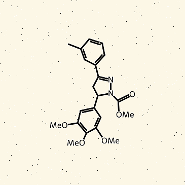 COC(=O)N1N=C(c2cccc(C)c2)CC1c1cc(OC)c(OC)c(OC)c1